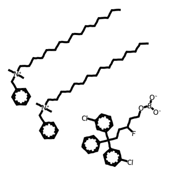 CCCCCCCCCCCCCCCC[N+](C)(C)Cc1ccccc1.CCCCCCCCCCCCCCCC[N+](C)(C)Cc1ccccc1.[O-]B([O-])OCCC(F)CCC(c1ccccc1)(c1cccc(Cl)c1)c1cccc(Cl)c1